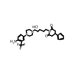 Cl.Nc1ccc(N2CCN(CCCCCN3C(=O)CC(c4ccccc4)CC3=O)CC2)cc1C(F)(F)F